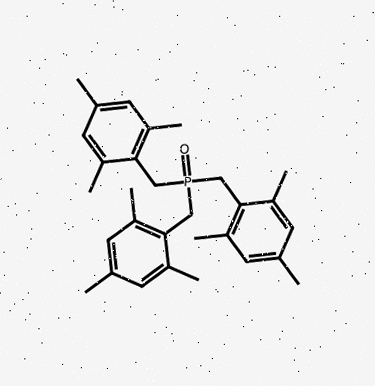 Cc1cc(C)c(CP(=O)(Cc2c(C)cc(C)cc2C)Cc2c(C)cc(C)cc2C)c(C)c1